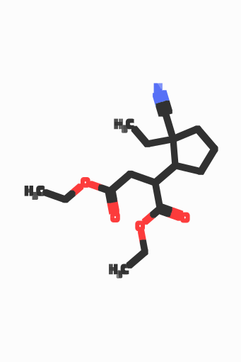 CCOC(=O)CC(C(=O)OCC)C1CCCC1(C#N)CC